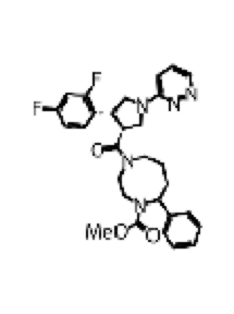 COC(=O)N1CCN(C(=O)[C@@H]2CN(c3cccnn3)C[C@H]2c2ccc(F)cc2F)CCCC1c1ccccc1